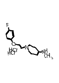 CNC1CCN(CCOc2ccc(F)cc2)CC1.Cl.Cl